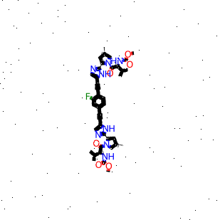 COC(=O)N[C@H](C(=O)N1C[C@@H](C)C[C@H]1c1ncc(C#Cc2ccc(C#Cc3cnc([C@@H]4C[C@H](C)CN4C(=O)[C@@H](NC(=O)OC)C(C)C)[nH]3)c(F)c2)[nH]1)C(C)C